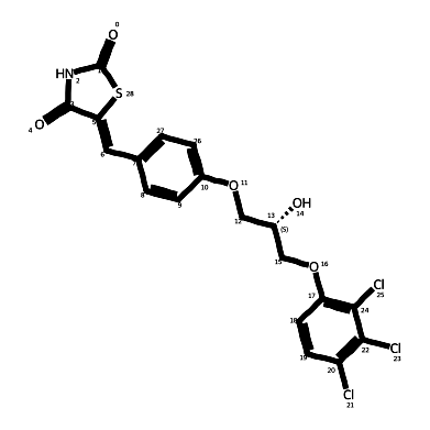 O=C1NC(=O)C(=Cc2ccc(OC[C@H](O)COc3ccc(Cl)c(Cl)c3Cl)cc2)S1